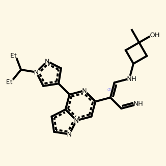 CCC(CC)n1cc(-c2nc(/C(C=N)=C/NC3CC(C)(O)C3)cn3nccc23)cn1